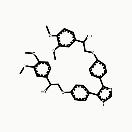 COc1ccc(C(O)COc2ccc(-c3nc[nH]c3-c3ccc(OCC(O)c4ccc(OC)c(OC)c4)cc3)cc2)cc1OC